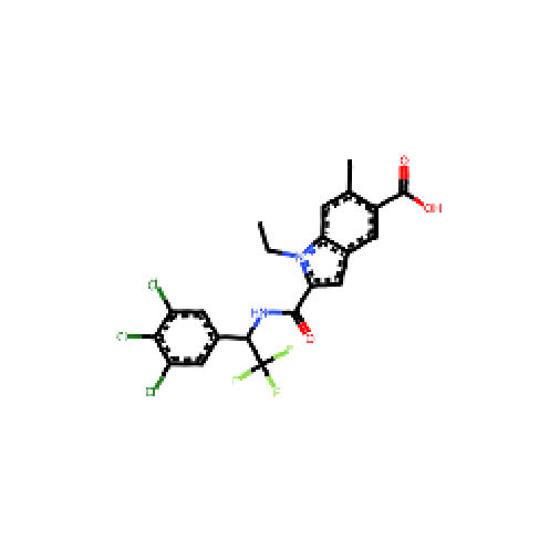 CCn1c(C(=O)NC(c2cc(Cl)c(Cl)c(Cl)c2)C(F)(F)F)cc2cc(C(=O)O)c(C)cc21